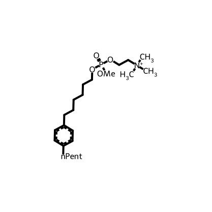 CCCCCc1ccc(CCCCCCOP(=O)(OC)OCC[N+](C)(C)C)cc1